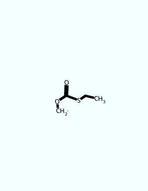 [CH2]OC(=O)SCC